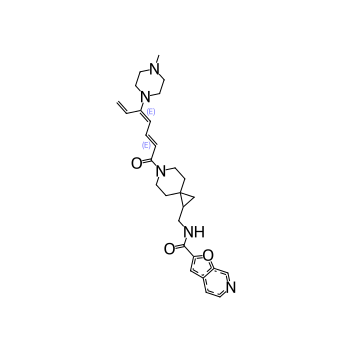 C=C/C(=C\C=C\C(=O)N1CCC2(CC1)CC2CNC(=O)c1cc2ccncc2o1)N1CCN(C)CC1